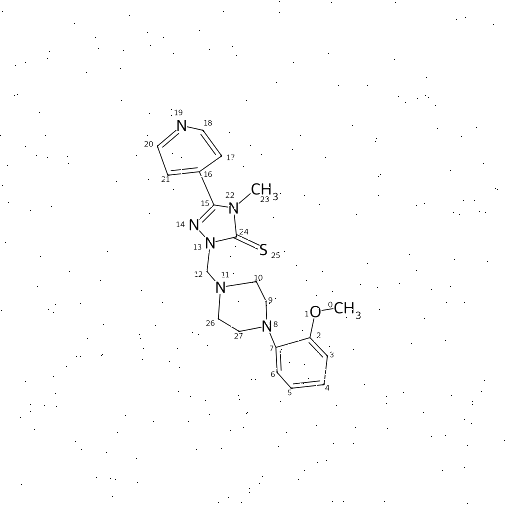 COc1ccccc1N1CCN(Cn2nc(-c3ccncc3)n(C)c2=S)CC1